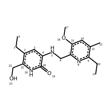 CCc1cc(NCc2nc(CC)c(C)cc2OC)c(=O)[nH]c1CO